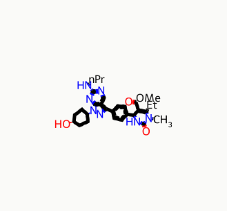 CCCNc1ncc2c(-c3ccc(C4NC(=O)N(C)C(CC)=C4C(=O)OC)cc3)nn([C@H]3CC[C@@H](O)CC3)c2n1